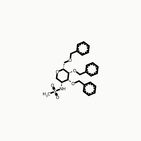 CS(=O)(=O)N[C@@H]1CO[C@H](COCc2ccccc2)[C@H](OCc2ccccc2)[C@@H]1OCc1ccccc1